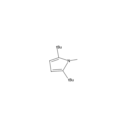 Cn1c(C(C)(C)C)ccc1C(C)(C)C